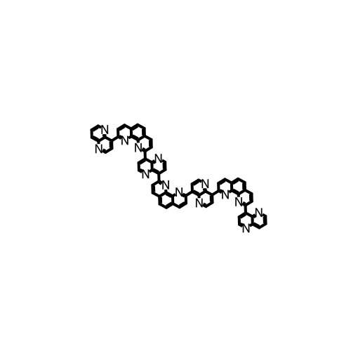 c1cnc2c(-c3ccc4ccc5ccc(-c6ccnc7c(-c8ccc9ccc%10ccc(-c%11ccnc%12c(-c%13ccc%14ccc%15ccc(-c%16ccnc%17cccnc%16%17)nc%15c%14n%13)ccnc%11%12)nc%10c9n8)ccnc67)nc5c4n3)ccnc2c1